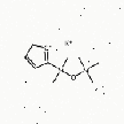 C[Si](C)(C)O[Si](C)(C)C1=[C-]CC=C1.[K+]